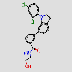 O=C(NCCO)c1cccc(-c2ccc3c(c2)N(c2ccc(Cl)cc2Cl)CC3)c1